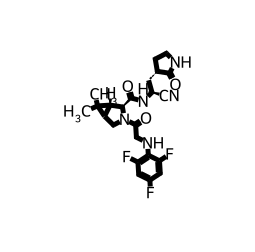 CC1(C)C2CN(C(=O)CNc3c(F)cc(F)cc3F)[C@H](C(=O)N[C@H](C#N)C[C@@H]3CCNC3=O)[C@H]21